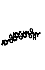 COc1c(OCC2CCN(C)CC2)ccc2c(Oc3ccc(NC(=O)C(=O)NCC(C)C)cc3F)ccnc12